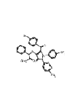 COC(=O)C(OC1=C(C(=O)c2ccc(C(C)C)cc2)[C@H](c2ccc(C(F)(F)F)cc2)N(c2ccc(C)nn2)C1=O)c1ccccc1